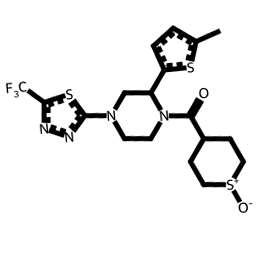 Cc1ccc(C2CN(c3nnc(C(F)(F)F)s3)CCN2C(=O)C2CC[S+]([O-])CC2)s1